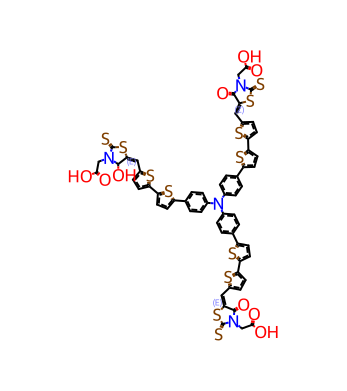 O=C(O)CN1C(=O)/C(=C/c2ccc(-c3ccc(-c4ccc(N(c5ccc(-c6ccc(-c7ccc(/C=C8/SC(=S)N(CC(=O)O)C8=O)s7)s6)cc5)c5ccc(-c6ccc(-c7ccc(/C=C8/SC(=S)N(CC(=O)O)C8O)s7)s6)cc5)cc4)s3)s2)SC1=S